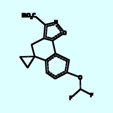 CCOC(=O)c1noc2c1CC1(CC1)c1ccc(OC(F)F)cc1-2